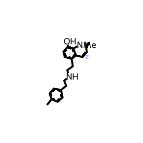 C=C/C=C\c1c(CCNCCc2ccc(C)cc2)ccc(O)c1NC